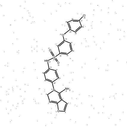 NC1=c2ccoc2=NCN1c1ccc(NS(=O)(=O)c2cccc(Oc3ccc(Cl)cc3)c2)cc1